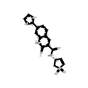 O=C(N[C@@H]1C=CS(=O)(=O)C1)c1cc2ccc(-c3nccs3)cc2[nH]c1=O